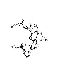 NCC(=O)N1CCC[C@H]1C(=O)N[C@@H](CO)C(=O)N[C@@H](CO)C(=O)NCC(=O)O